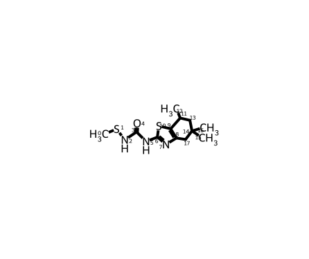 CSNC(=O)Nc1nc2c(s1)C(C)CC(C)(C)C2